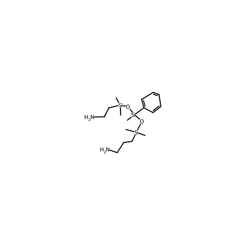 C[Si](C)(CCN)O[Si](C)(O[Si](C)(C)CCCN)c1ccccc1